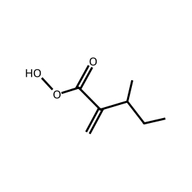 C=C(C(=O)OO)C(C)CC